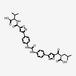 CC(C)CN(C(=O)O)C(=O)c1cc(-c2ccc(NC(=O)Nc3ccc(-c4cc(C(=O)NC(C(=O)O)C(C)C)on4)cc3)cc2)no1